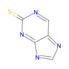 S=C1N=CC2=NC=NC2=N1